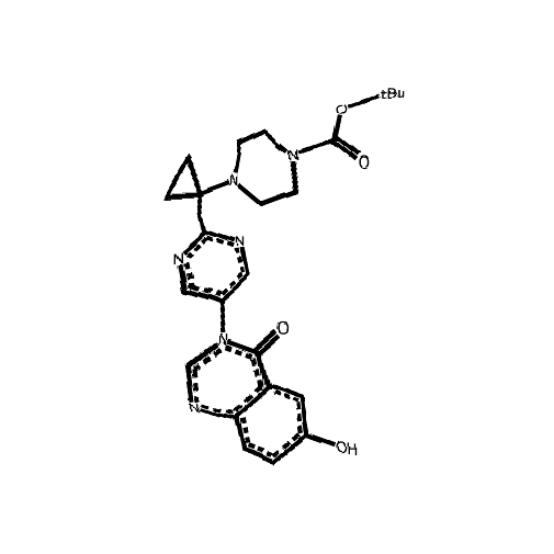 CC(C)(C)OC(=O)N1CCN(C2(c3ncc(-n4cnc5ccc(O)cc5c4=O)cn3)CC2)CC1